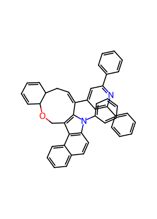 C1=CC2C/C=C(/c3cc(-c4ccccc4)nc(-c4ccccc4)c3)c3c(c4c5ccccc5ccc4n3-c3ccccc3)COC2C=C1